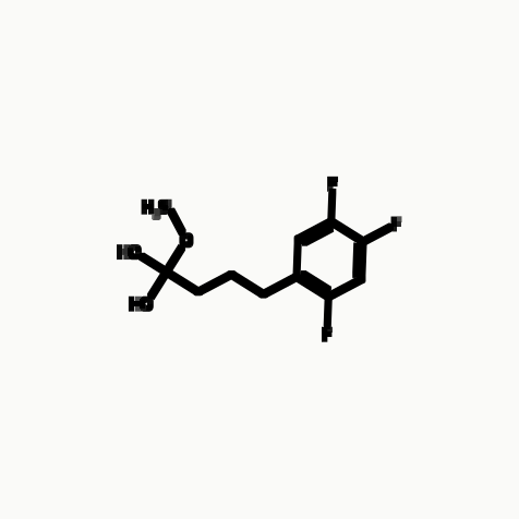 OC(O)(CCCc1cc(F)c(F)cc1F)O[SiH3]